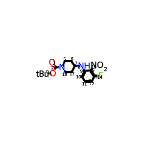 CC(C)(C)OC(=O)N1CCC(Nc2cccc(F)c2[N+](=O)[O-])CC1